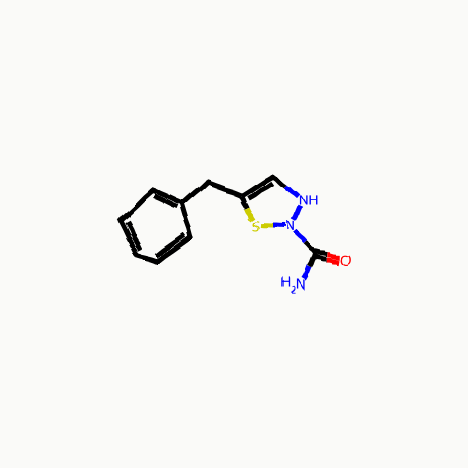 NC(=O)N1NC=C(Cc2ccccc2)S1